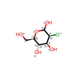 OC[C@H]1OC(O)[C@@H](Cl)[C@@H](O)[C@@H]1O